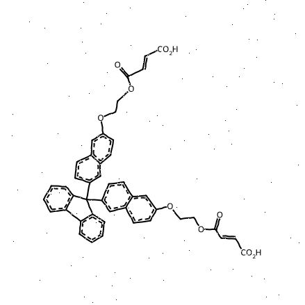 O=C(O)C=CC(=O)OCCOc1ccc2cc(C3(c4ccc5cc(OCCOC(=O)C=CC(=O)O)ccc5c4)c4ccccc4-c4ccccc43)ccc2c1